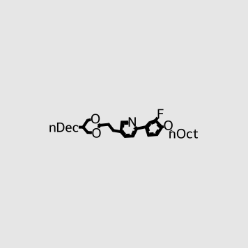 CCCCCCCCCCC1COC(CCc2ccc(-c3ccc(OCCCCCCCC)c(F)c3)nc2)OC1